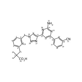 CC(C)(Cc1cccc(Cn2cc(-c3cc(-c4cccc(C#N)c4)nc(N)n3)nn2)n1)C(=O)O